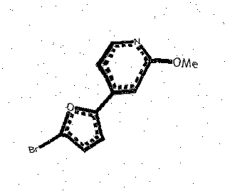 COc1cc(-c2ccc(Br)o2)ccn1